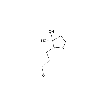 [O]CCCN1SCCC1(O)O